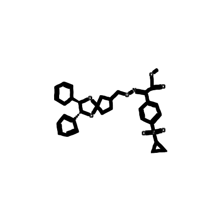 COC(=O)/C(=N/OCC1CCC2(C1)O[C@H](c1ccccc1)[C@@H](C1C=CC=CC1)O2)c1ccc(S(=O)(=O)C2CC2)cc1